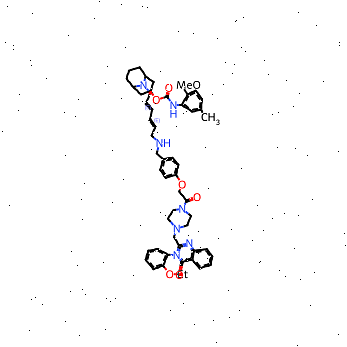 CCOc1ccccc1-n1c(CN2CCN(C(=O)COc3ccc(CNC/C=C/C=C/CN4C5CCCC4CC(OC(=O)Nc4cc(C)ccc4OC)C5)cc3)CC2)nc2ccccc2c1=O